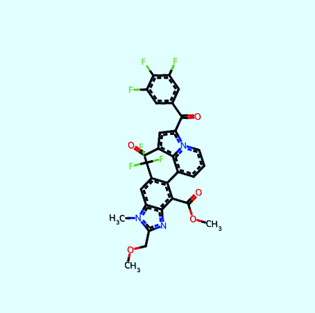 COCc1nc2c(C(=O)OC)c(-c3cccn4c(C(=O)c5cc(F)c(F)c(F)c5)cc(C=O)c34)c(C(F)(F)F)cc2n1C